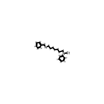 CCN(CCCCCCCN=Cc1ccccc1)c1ccccc1